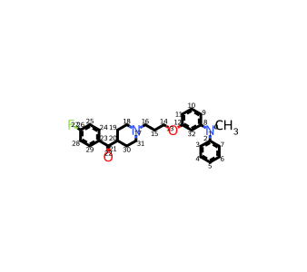 CN(c1ccccc1)c1cccc(OCCCN2CCC(C(=O)c3ccc(F)cc3)CC2)c1